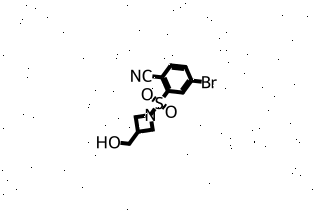 N#Cc1ccc(Br)cc1S(=O)(=O)N1CC(CO)C1